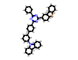 c1ccc(-c2nc(-c3ccc(-c4cccc(-n5c6ccccc6c6ccccc65)c4)cc3)nc(-c3ccc4sc5ccccc5c4c3)n2)cc1